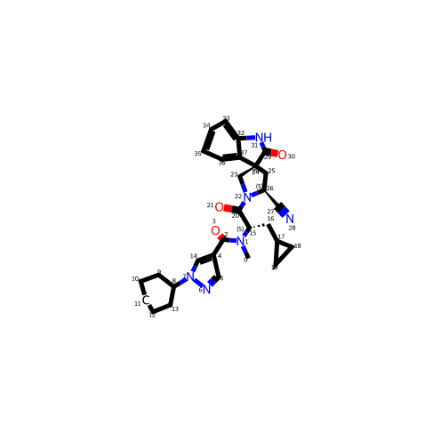 CN(C(=O)c1cnn(C2CCCCC2)c1)[C@@H](CC1CC1)C(=O)N1C[C@]2(C[C@H]1C#N)C(=O)Nc1ccccc12